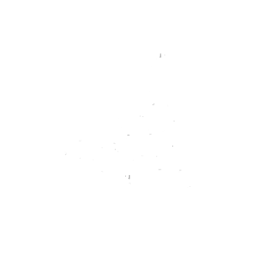 CC(C)CCOc1ccc(OCc2ccccc2)c(OC(=O)N(CC[Si](C)(C)C)S(N)(=O)=O)c1